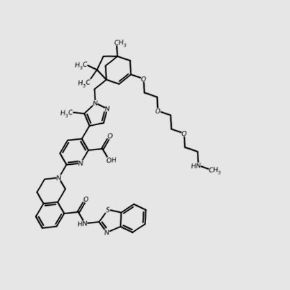 CNCCOCCOCCOC1=CC2(Cn3ncc(-c4ccc(N5CCc6cccc(C(=O)Nc7nc8ccccc8s7)c6C5)nc4C(=O)O)c3C)CC(C)(C1)CC2(C)C